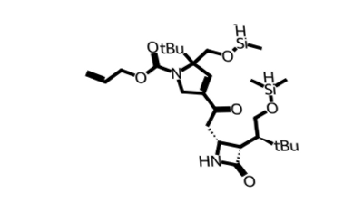 C=CCOC(=O)N1CC(C(=O)C[C@H]2NC(=O)[C@H]2[C@@H](CO[SiH](C)C)C(C)(C)C)=CC1(CO[SiH](C)C)C(C)(C)C